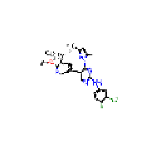 CCOC(=O)c1cc(-c2cnc(Nc3ccc(F)c(Cl)c3)nc2-n2nc(C(F)(F)F)cc2C)cnc1OC(C)C